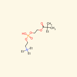 CCC(C)(C)C(=O)OCCOP(=O)(O)OCC[N+](CC)(CC)CC